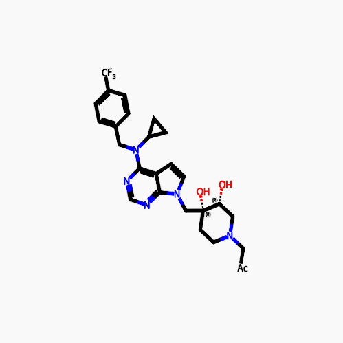 CC(=O)CN1CC[C@@](O)(Cn2ccc3c(N(Cc4ccc(C(F)(F)F)cc4)C4CC4)ncnc32)[C@H](O)C1